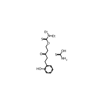 CCN(CC)C(=S)OCCC(=O)CCc1ccccc1O.NC(O)=S